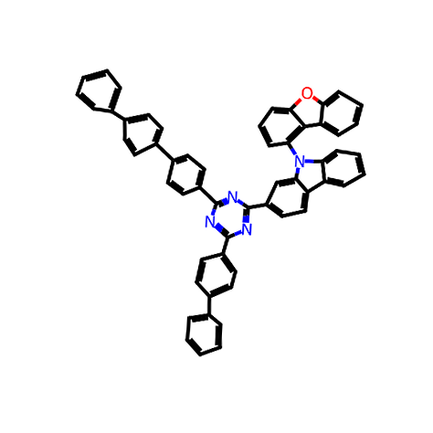 c1ccc(-c2ccc(-c3ccc(-c4nc(-c5ccc(-c6ccccc6)cc5)nc(-c5ccc6c7ccccc7n(-c7cccc8oc9ccccc9c78)c6c5)n4)cc3)cc2)cc1